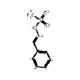 O=S(=O)(ON=Cc1ccccc1)C(F)(F)F